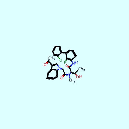 CC(=O)c1cn(CC(=O)N(C)C(C(=O)Nc2cccc(-c3ccccc3Cl)c2F)C(C)O)c2ccccc12